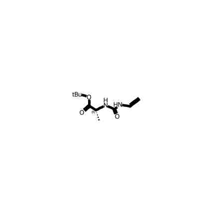 C=CNC(=O)N[C@H](C)C(=O)OC(C)(C)C